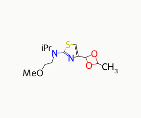 COCCN(c1nc(C2OC(C)O2)cs1)C(C)C